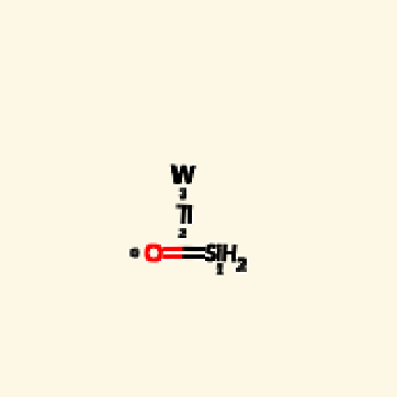 O=[SiH2].[Ti].[W]